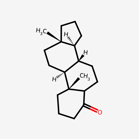 C[C@@]12CCC[C@H]1[C@@H]1CCC3C(=O)CCC[C@]3(C)[C@H]1CC2